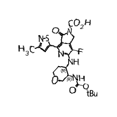 Cc1cc(-c2nc(N[C@@H]3CCOC[C@@H]3NC(=O)OC(C)(C)C)c(F)c3c2C(=O)N(C(=O)O)C3)sn1